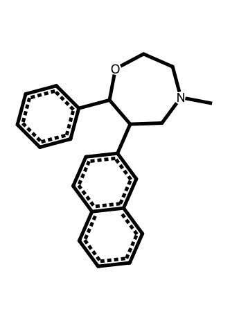 CN1CCOC(c2ccccc2)C(c2ccc3ccccc3c2)C1